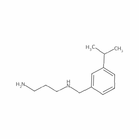 CC(C)c1cccc(CNCCCN)c1